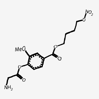 COc1cc(C(=O)OCCCCO[N+](=O)[O-])ccc1OC(=O)CN